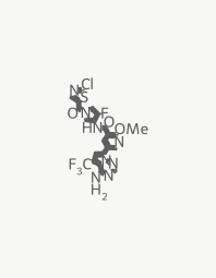 COc1ncc(-c2cc(C(F)(F)F)c3c(N)ncnn23)cc1C(=O)N[C@@H]1CN(C(=O)c2cnc(Cl)s2)C[C@@H]1F